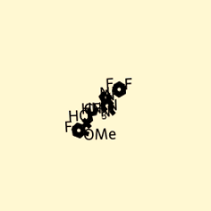 COc1ccc(F)cc1C(C)(C)CC(O)(CNc1nc(C)nc2c1cnn2-c1ccc(F)cc1F)C(F)(F)F